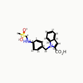 CS(=O)(=O)CNc1ccc(Cn2c(C(=O)O)cc3ccccc32)cc1